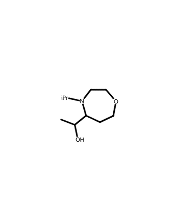 CC(O)C1CCOCCN1C(C)C